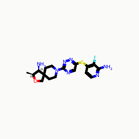 C[C@@H]1OCC2(CCN(c3ncc(Sc4ccnc(N)c4F)nn3)CC2)[C@@H]1N